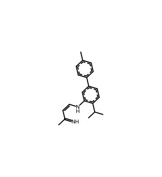 CC(=N)/C=C\Nc1cc(-c2ccc(C)cc2)ccc1C(C)C